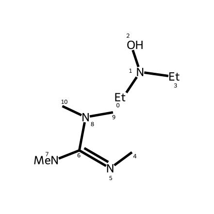 CCN(O)CC.CN=C(NC)N(C)C